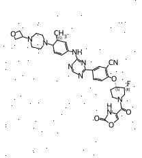 C[C@H]1C=C(Nc2ncnc(-c3ccc(O[C@H]4CCN(C(=O)c5coc(=O)[nH]5)C[C@H]4F)c(C#N)c3)n2)C=CC1N1CCN(C2COC2)CC1